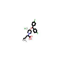 CCCCC(C(=O)O)N1CCC(OC(c2ccc(F)cc2)c2ccc(F)cc2)CC1.Cl